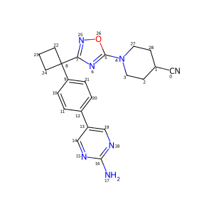 N#CC1CCN(c2nc(C3(c4ccc(-c5cnc(N)nc5)cc4)CCC3)no2)CC1